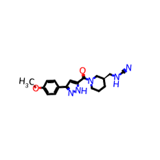 COc1ccc(-c2cc(C(=O)N3CCC[C@H](CNC#N)C3)[nH]n2)cc1